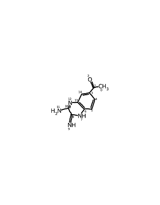 CC(=O)c1ccc2[nH]c(=N)c(N)nc2c1